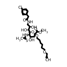 C#CCOCCCCCCO[C@]1(C(=O)OC)C[C@H](O)[C@@H](NC(C)=S)[C@H]([C@H](O)[C@H](O)CNC(=O)Cc2ccc(Cl)cc2)O1